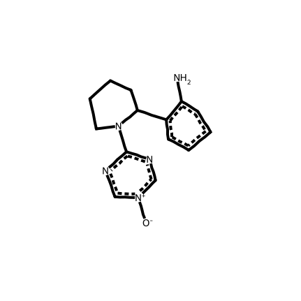 Nc1ccccc1C1CCCCN1c1nc[n+]([O-])cn1